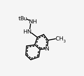 Cc1cc(NNC(C)(C)C)c2ccccc2n1